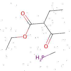 CCOC(=O)C(CC)C(C)=O.CP